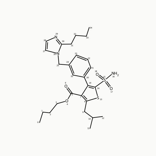 CCCCOC(=O)c1c(CC(C)C)sc(S(N)(=O)=O)c1-c1cccc(Cn2ccnc2CCCC)c1